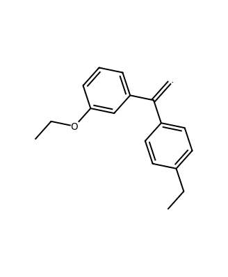 [CH]=C(c1ccc(CC)cc1)c1cccc(OCC)c1